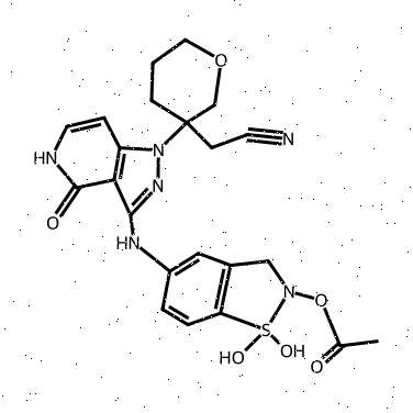 CC(=O)ON1Cc2cc(Nc3nn(C4(CC#N)CCCOC4)c4cc[nH]c(=O)c34)ccc2S1(O)O